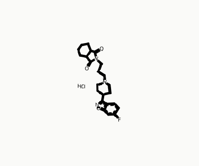 Cl.O=C1C2CCCCC2C(=O)N1CCCN1CCC(c2noc3cc(F)ccc23)CC1